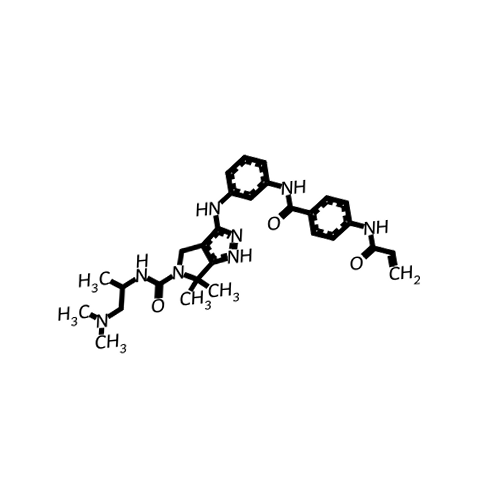 C=CC(=O)Nc1ccc(C(=O)Nc2cccc(Nc3n[nH]c4c3CN(C(=O)NC(C)CN(C)C)C4(C)C)c2)cc1